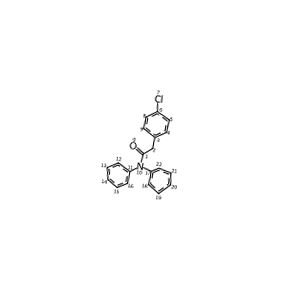 O=C(Cc1ccc(Cl)cc1)N(c1ccccc1)c1ccccc1